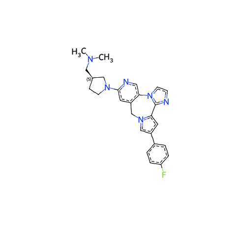 CN(C)C[C@@H]1CCN(c2cc3c(cn2)-n2ccnc2-c2cc(-c4ccc(F)cc4)cn2C3)C1